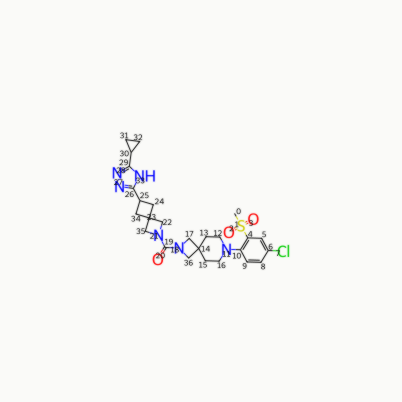 CS(=O)(=O)c1cc(Cl)ccc1N1CCC2(CC1)CN(C(=O)N1CC3(CC(c4nnc(C5CC5)[nH]4)C3)C1)C2